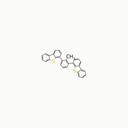 Cc1c(-c2cccc3c2sc2ccccc23)cccc1-c1cccc2c1sc1ccccc12